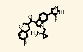 NC1(Cn2cc(C(=O)C3COc4ccc(F)cc4C3)c3ccc(-c4cn[nH]c4F)cc32)CC1